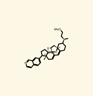 COCCN(C)C1CCC2=CC3=CC[C@]4(C)C(c5ccc6ccncc6c5)CC[C@H]4[C@@]34CC[C@]2(C1)O4